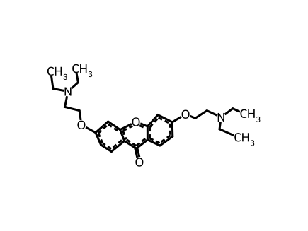 CCN(CC)CCOc1ccc2c(=O)c3ccc(OCCN(CC)CC)cc3oc2c1